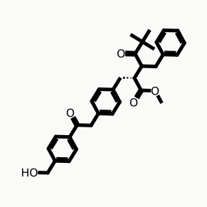 COC(=O)[C@H](Cc1ccc(CC(=O)c2ccc(CO)cc2)cc1)C(Cc1ccccc1)C(=O)C(C)(C)C